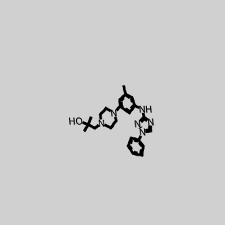 Cc1cc(Nc2ncn(-c3ccccc3)n2)cc(N2CCN(CC(C)(C)O)CC2)c1